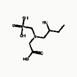 CCC(O)CN(CC(=O)O)CP(=O)(O)O